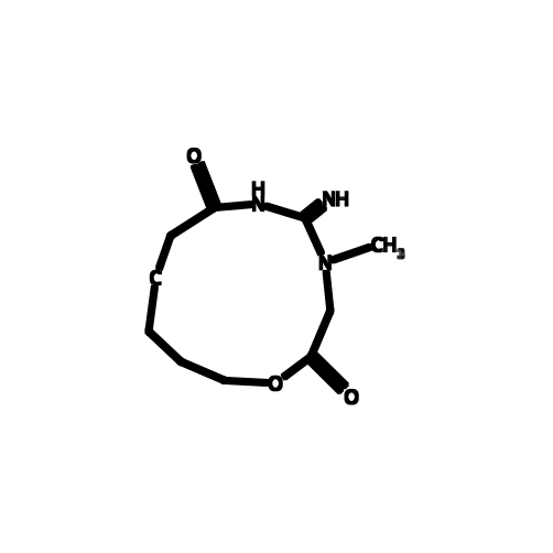 CN1CC(=O)OCCCCCC(=O)NC1=N